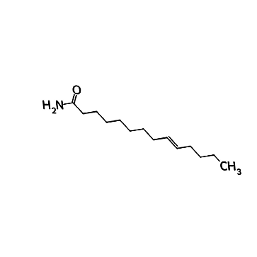 CCCC/C=C/CCCCCCCC(N)=O